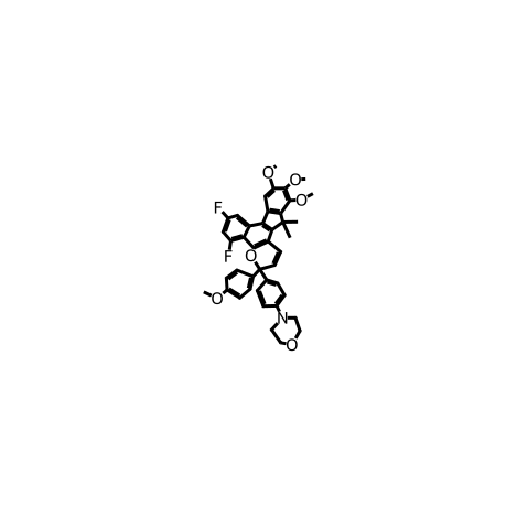 COc1ccc(C2(c3ccc(N4CCOCC4)cc3)C=Cc3c4c(c5cc(F)cc(F)c5c3O2)-c2cc(OC)c(OC)c(OC)c2C4(C)C)cc1